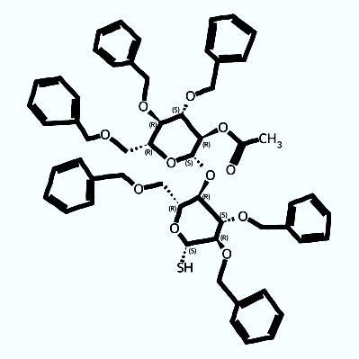 CC(=O)O[C@H]1[C@H](O[C@H]2[C@H](OCc3ccccc3)[C@@H](OCc3ccccc3)[C@H](S)O[C@@H]2COCc2ccccc2)O[C@H](COCc2ccccc2)[C@@H](OCc2ccccc2)[C@@H]1OCc1ccccc1